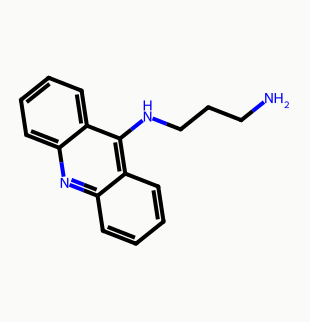 NCCCNc1c2ccccc2nc2ccccc12